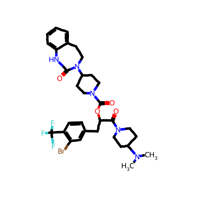 CN(C)C1CCN(C(=O)C(Cc2ccc(C(F)(F)F)c(Br)c2)OC(=O)N2CCC(N3CCc4ccccc4NC3=O)CC2)CC1